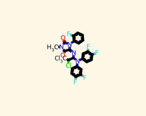 CN1C(=O)C(=NC(C(Cl)C(Cl)(Cl)Cl)N(c2ccc(F)c(F)c2)c2ccc(F)c(F)c2)N(c2ccccc2F)C1=O